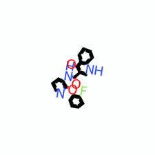 O=C(Nc1cccnc1Oc1ccccc1F)c1c[nH]c2ccccc2c1=O